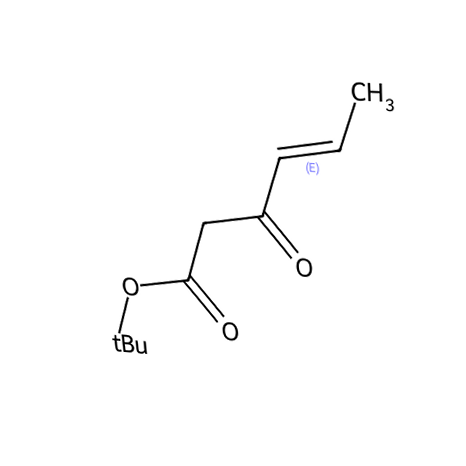 C/C=C/C(=O)CC(=O)OC(C)(C)C